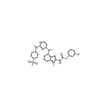 CN(c1ccc(S(C)(=O)=O)cc1)c1nccc(N(C)c2cccc3c2nc(NC(=O)Cc2cccc(F)c2)n3C)n1